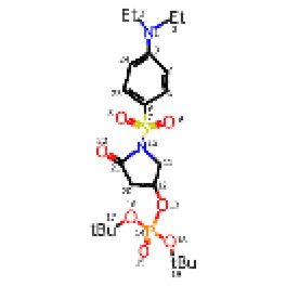 CCN(CC)c1ccc(S(=O)(=O)N2CC(OP(=O)(OC(C)(C)C)OC(C)(C)C)CC2=O)cc1